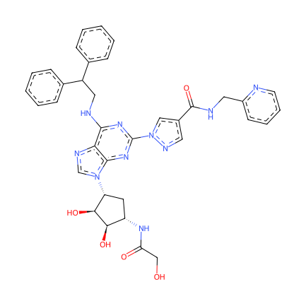 O=C(CO)N[C@H]1C[C@@H](n2cnc3c(NCC(c4ccccc4)c4ccccc4)nc(-n4cc(C(=O)NCc5ccccn5)cn4)nc32)[C@H](O)[C@@H]1O